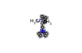 C\C=C/C=C1\C(=C2/C=CC(c3ccc(-c4nc(-c5cccc6ccccc56)nc(-c5cccc6ccccc56)n4)cc3)=CC2C)C2(c3ccccc31)c1ccccc1-c1ccccc12